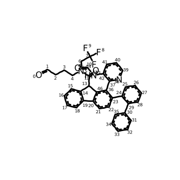 O=CCCCN(CC(F)(F)F)C(=O)C1c2ccccc2-c2ccc(-c3ccccc3-c3ccccc3)c(-c3ncccc3NC=O)c21